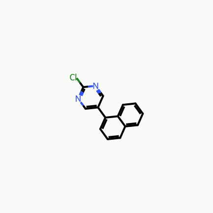 Clc1ncc(-c2cccc3ccccc23)cn1